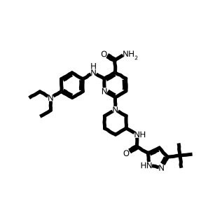 CCN(CC)c1ccc(Nc2nc(N3CCCC(NC(=O)c4cc(C(C)(C)C)n[nH]4)C3)ccc2C(N)=O)cc1